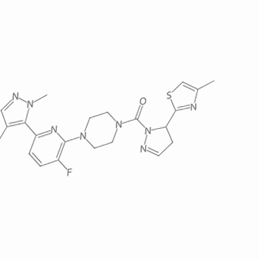 Cc1csc(C2CC=NN2C(=O)N2CCN(c3nc(-c4c(C)cnn4C)ccc3F)CC2)n1